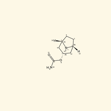 CN1[C@@H]2CC[C@H]1C[C@@H](OC(N)=O)C2